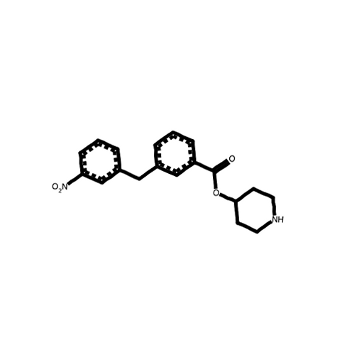 O=C(OC1CCNCC1)c1cccc(Cc2cccc([N+](=O)[O-])c2)c1